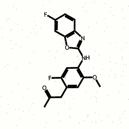 COc1cc(CC(C)=O)c(F)cc1Nc1nc2ccc(F)cc2o1